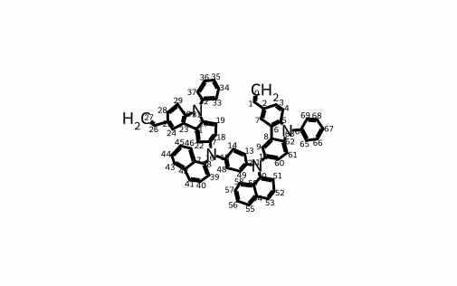 C=Cc1ccc2c(c1)c1cc(N(c3ccc(N(c4ccc5c(c4)c4cc(C=C)ccc4n5-c4ccccc4)c4cccc5ccccc45)cc3)c3cccc4ccccc34)ccc1n2-c1ccccc1